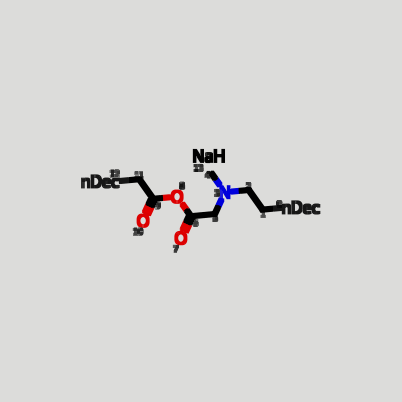 CCCCCCCCCCCCN(C)CC(=O)OC(=O)CCCCCCCCCCC.[NaH]